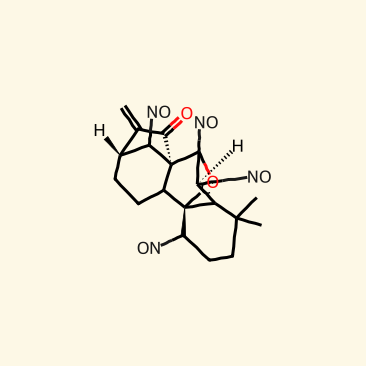 C=C1C(=O)[C@@]23C(N=O)[C@@H]1CCC2[C@]12COC3(N=O)[C@@H](N=O)C1C(C)(C)CCC2N=O